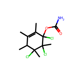 CC1=C(C)C(Cl)(OC(N)=O)C(C)(Cl)C(C)(Cl)C1C